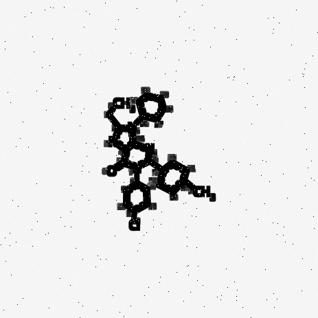 CCc1nc2c(=O)n(-c3ccc(Cl)cc3)c(-c3ccc(C)cc3)nc2n1-c1ccccc1